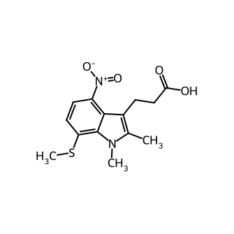 CSc1ccc([N+](=O)[O-])c2c(CCC(=O)O)c(C)n(C)c12